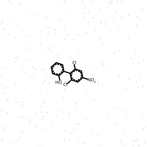 O=[N+]([O-])c1cc(Cl)c(-c2ccccc2O)c(Cl)c1